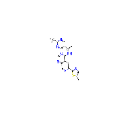 Cc1cnc(-c2cc3c(N[C@H](C)c4cnc(C(F)(F)F)nc4)ncnc3cn2)s1